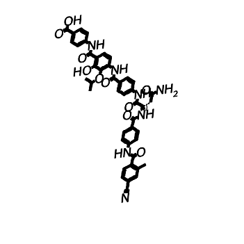 Cc1cc(C#N)ccc1C(=O)Nc1ccc(C(=O)N[C@@H](CC(N)=O)C(=O)Nc2ccc(C(=O)Nc3ccc(C(=O)Nc4ccc(C(=O)O)cc4)c(O)c3OC(C)C)cc2)cc1